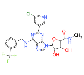 CNC(=O)C1OC(n2cnc3c(NCc4cccc(C(F)(F)F)c4)nc(-c4cncc(Cl)c4)nc32)C(O)C1O